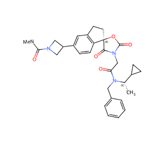 CNC(=O)N1CC(c2ccc3c(c2)CC[C@@]32OC(=O)N(CC(=O)N(Cc3ccccc3)[C@@H](C)C3CC3)C2=O)C1